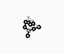 CC1(C)c2cccc(-c3cccc(-c4nc(-c5ccccc5)nc(-c5ccc(-c6ccccn6)cc5)n4)c3)c2-c2ccc3ccccc3c21